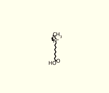 Cn1cc[n+](CCCCCCCCC(=O)O)c1